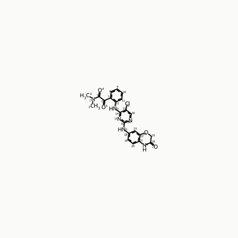 CN(C)C(=O)C(=O)c1ccccc1Nc1nc(Nc2ccc3c(c2)OCC(=O)N3)ncc1Cl